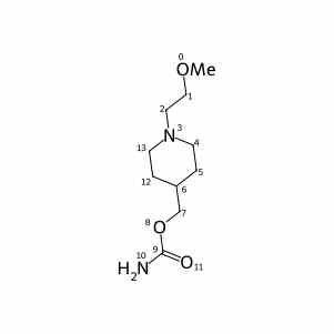 COCCN1CCC(COC(N)=O)CC1